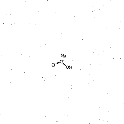 [Na].[O-][Cl+]O